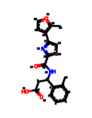 Cc1ccccc1C(CC(=O)O)NC(=O)c1nc(-c2ccoc2C)cs1